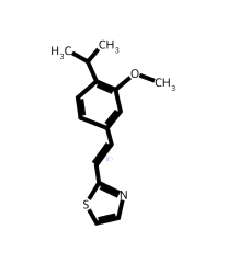 COc1cc(/C=C/c2nccs2)ccc1C(C)C